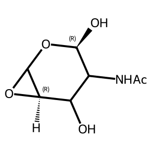 CC(=O)NC1C(O)[C@H]2OC2O[C@H]1O